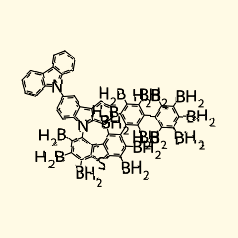 Bc1c(B)c(B)c(-c2c(B)c(B)c(B)c(-c3c(B)c(B)c4sc5c(B)c(B)c(B)c(-n6c7ccccc7c7cc(-n8c9ccccc9c9ccccc98)ccc76)c5c4c3B)c2B)c(B)c1B